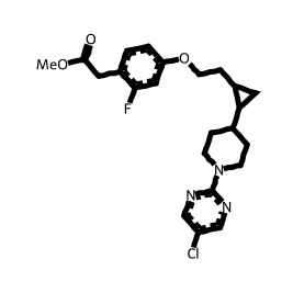 COC(=O)Cc1ccc(OCCC2CC2C2CCN(c3ncc(Cl)cn3)CC2)cc1F